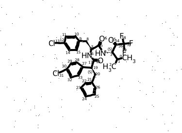 CC(C)[C@H](NC(=O)[C@H](Cc1ccc(Cl)cc1)NC(=O)[C@@H](Cc1ccccc1)c1ccc(Cl)cc1)C(=O)C(F)(F)F